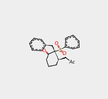 CC(=O)C[C@H]1CCCC(=O)[C@]1(Cc1ccccc1)S(=O)(=O)c1ccccc1